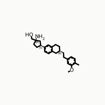 COc1cc(CC[C@@H]2CCc3cc([C@H]4CC[C@](N)(CO)C4)ccc3C2)ccc1C